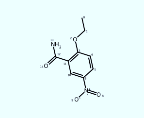 CCOc1ccc([N+](=O)[O-])cc1C(N)=O